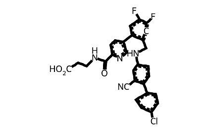 N#Cc1cc(NCc2cc(F)c(F)cc2-c2ccc(C(=O)NCCC(=O)O)nc2)ccc1-c1ccc(Cl)cc1